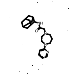 O=C(CN1CCCN(c2ccccn2)CC1)NC1C2CC3CC(C2)CC1C3